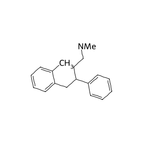 CNCCC(Cc1ccccc1C)c1ccccc1